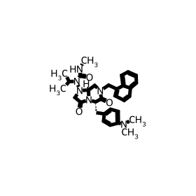 CNC(=O)N(C(C)C)N1CC(=O)N2[C@@H](Cc3ccc(N(C)C)cc3)C(=O)N(Cc3cccc4ccccc34)C[C@@H]21